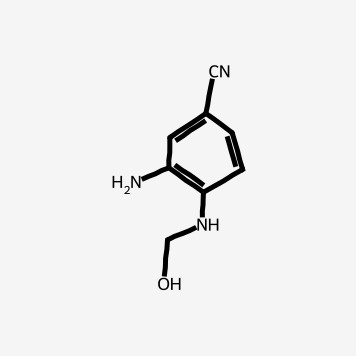 N#Cc1ccc(NCO)c(N)c1